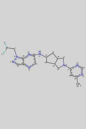 FC(F)Cn1ncc2ncc(NC3CC4CN(c5cc(C(F)(F)F)ncn5)CC4C3)nc21